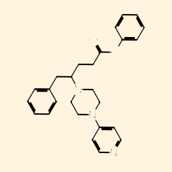 O=C(CCC(Cc1ccccc1)N1CCN(c2ccncc2)CC1)Oc1ccccc1